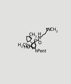 C=C(C)[C@@H]1CCC(C)=C[C@H]1c1c(O)cc(CCCCC)cc1OC(=O)NCCCC1CN1C